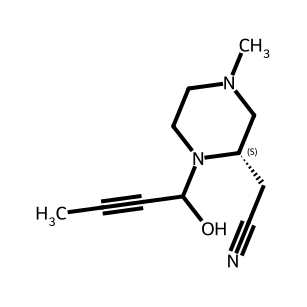 CC#CC(O)N1CCN(C)C[C@@H]1CC#N